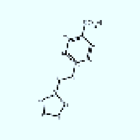 O=S(=O)(O)c1ccc(CCC2CCCC2)cc1